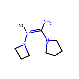 N#C[N+](=C(N)N1C[CH]CC1)N1CCC1